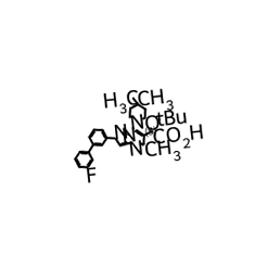 Cc1nc2cc(-c3cccc(-c4cccc(F)c4)c3)nn2c(N2CCC(C)(C)CC2)c1[C@H](OC(C)(C)C)C(=O)O